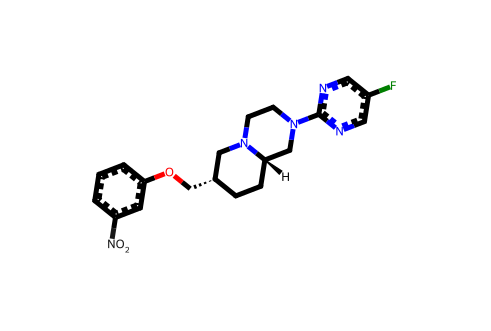 O=[N+]([O-])c1cccc(OC[C@H]2CC[C@H]3CN(c4ncc(F)cn4)CCN3C2)c1